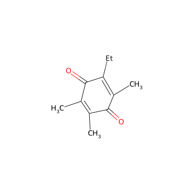 CCC1=C(C)C(=O)C(C)=C(C)C1=O